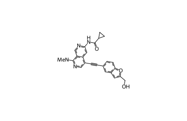 CNc1ncc(C#Cc2ccc3oc(CO)cc3c2)c2cc(NC(=O)C3CC3)ncc12